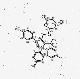 Cc1ccc([N+]2(c3ccc(F)cc3)N=C(c3ccc(F)cc3)C(CC[C@@H]3C[C@@H](O)CC(=O)O3)=C2C(C)C)cc1